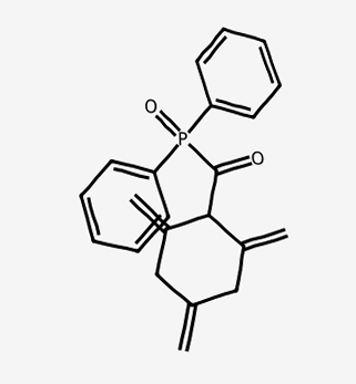 C=C1CC(=C)C(C(=O)P(=O)(c2ccccc2)c2ccccc2)C(=C)C1